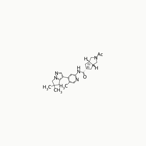 CC(=O)N1C[C@H]2C[C@@H](C(=O)Nc3cc(-c4cnn5c4CC(C)(C)C5)c(C)cn3)C[C@H]2C1